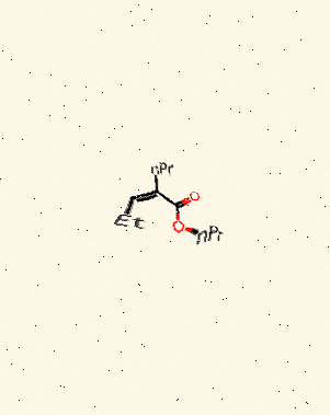 CCC=C(CCC)C(=O)OCCC